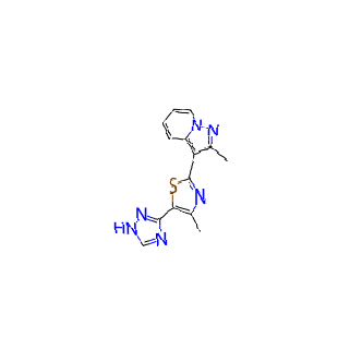 Cc1nc(-c2c(C)nn3ccccc23)sc1-c1nc[nH]n1